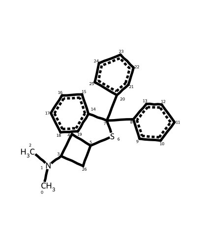 CN(C)C1CC(SC(c2ccccc2)(c2ccccc2)c2ccccc2)C1